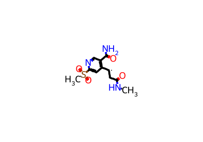 CNC(=O)C[CH]c1cc(S(C)(=O)=O)ncc1C(N)=O